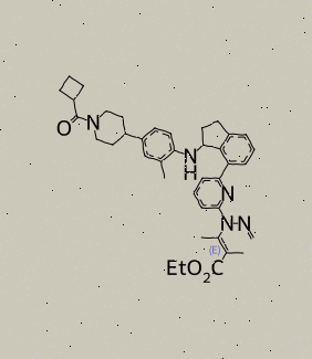 C=NN(/C(C)=C(\C)C(=O)OCC)c1cccc(-c2cccc3c2C(Nc2ccc(C4CCN(C(=O)C5CCC5)CC4)cc2C)CC3)n1